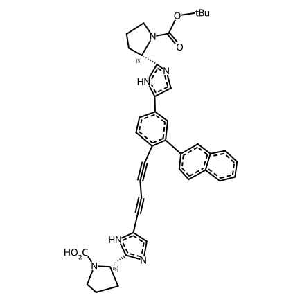 CC(C)(C)OC(=O)N1CCC[C@H]1c1ncc(-c2ccc(C#CC#Cc3cnc([C@@H]4CCCN4C(=O)O)[nH]3)c(-c3ccc4ccccc4c3)c2)[nH]1